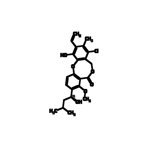 C=Cc1c(C)c(Cl)c2c(c1O)Oc1ccc([C@@H](O)CC(C)C)c(OC)c1C(=O)OC2